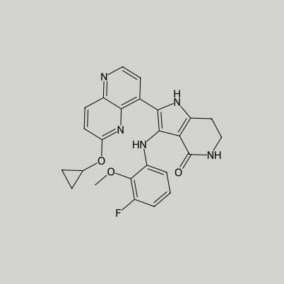 COc1c(F)cccc1Nc1c(-c2ccnc3ccc(OC4CC4)nc23)[nH]c2c1C(=O)NCC2